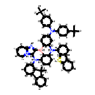 CC(C)(C)c1ccc(N(c2ccc(C(C)(C)C)cc2)c2ccc3c(c2)N(c2cccc4c2sc2ccccc24)c2cccc4c2B3c2nc3ccccn3c2N4c2cccc3c2C(C)(C)c2ccccc2-3)cc1